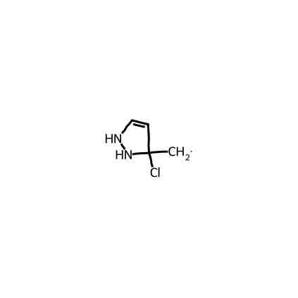 [CH2]C1(Cl)C=CNN1